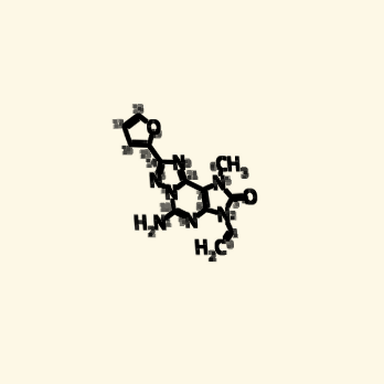 C=Cn1c(=O)n(C)c2c1nc(N)n1nc(-c3ccco3)nc21